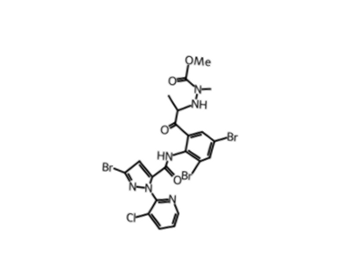 COC(=O)N(C)NC(C)C(=O)c1cc(Br)cc(Br)c1NC(=O)c1cc(Br)nn1-c1ncccc1Cl